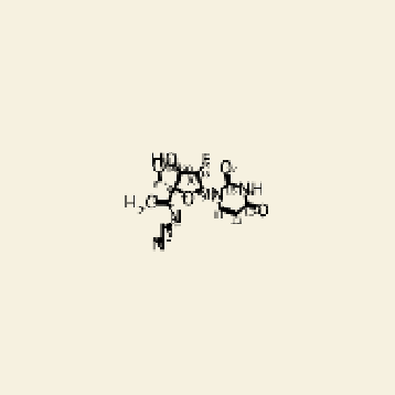 C=C(N=[N+]=[N-])[C@]1(CO)O[C@@H](n2ccc(=O)[nH]c2=O)[C@H](F)[C@@H]1O